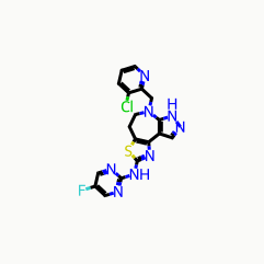 Fc1cnc(Nc2nc3c(s2)CCN(Cc2ncccc2Cl)c2[nH]ncc2-3)nc1